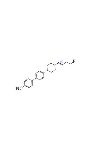 N#Cc1ccc(-c2ccc([C@H]3CC[C@H](/C=C/CCF)CC3)cc2)cc1